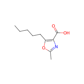 CCCCCc1oc(C)nc1C(=O)O